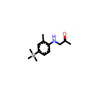 CC(=O)CNc1ccc([Si](C)(C)C)cc1C